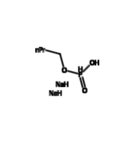 CCCCO[PH](=O)O.[NaH].[NaH]